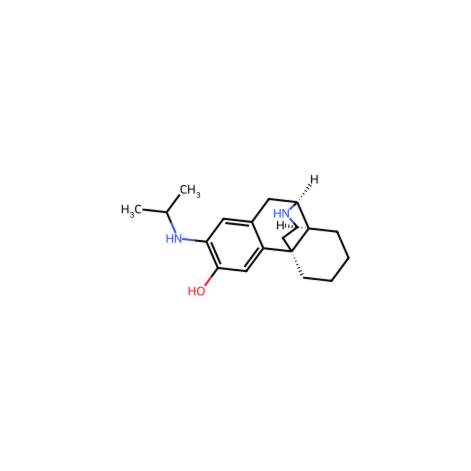 CC(C)Nc1cc2c(cc1O)[C@]13CCCC[C@@H]1[C@H](C2)NCC3